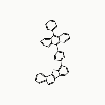 c1ccc(-c2c3ccccc3c(-c3ccc(-c4cccc5c4sc4c6ccccc6ccc54)nc3)c3ccccc23)cc1